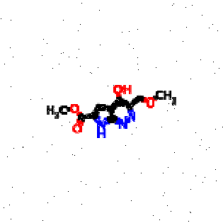 COCc1nnc2[nH]c(C(=O)OC)cc2c1O